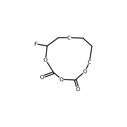 O=C1OCCCCCC(F)OC(=O)O1